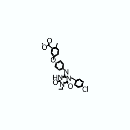 CCn1c(=O)[nH]/c(=N\c2ccc(Oc3ccc(C)c(C(=O)OC)c3)cc2)n(Cc2ccc(Cl)cc2)c1=O